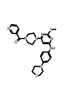 CSc1nc(Nc2ccc(N3CCOCC3)cc2)cc(N2CCN(C(=O)c3cccnc3)CC2)n1